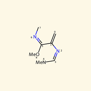 C=C(/N=C\NC)/C(=N\C)OC